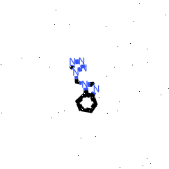 c1ccc2c(c1)ncn2Cn1cnnn1